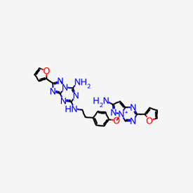 NC1=N[N+]2(Oc3ccc(CCNc4nc(N)n5nc(-c6ccco6)nc5n4)cc3)C=NC(c3ccco3)=NC2=C1